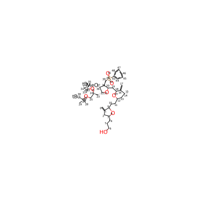 C=C1C[C@H](CCCO)OC1CCC1C[C@@H](C)C(=C)C(CC2O[C@H](C[C@@H](CO[Si](C)(C)C(C)(C)C)O[Si](C)(C)C(C)(C)C)[C@H](OC)[C@H]2CS(=O)(=O)c2ccccc2)O1